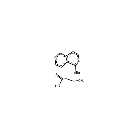 CCCC(=O)O.CCCCc1nccc2ccccc12